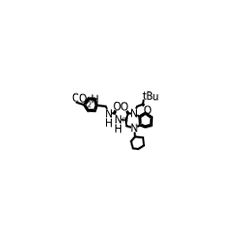 CC(C)(C)C(=O)CN1C(=O)[C@H](NC(=O)NCc2ccc(CC(=O)O)cc2)CN(C2CCCCC2)c2ccccc21